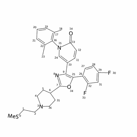 CSCCN1CCC(c2nc(-c3ccc(=O)n(-c4c(C)cccc4C)c3)c(-c3ccc(F)cc3F)o2)CC1